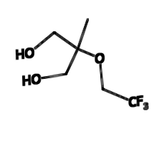 CC(CO)(CO)OCC(F)(F)F